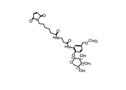 O=COCc1ccc(O[C@@H]2OC[C@H](O)[C@H](O)[C@H]2O)c(NC(=O)CCNC(=O)CCCCCN2C(=O)C=CC2=O)c1